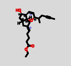 CC#CCC(C)[C@H](O)/C=C\[C@H]1[C@H]2C/C(=C/CCCC(=O)OCC)C[C@@H]2C[C@@H]1O